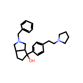 OC1(c2ccc(CCN3CCCC3)cc2)CCC2CN(Cc3ccccc3)CC21